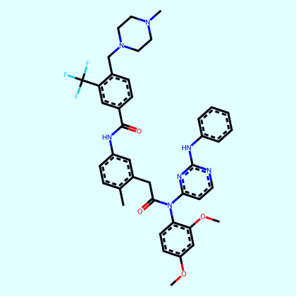 COc1ccc(N(C(=O)Cc2cc(NC(=O)c3ccc(CN4CCN(C)CC4)c(C(F)(F)F)c3)ccc2C)c2ccnc(Nc3ccccc3)n2)c(OC)c1